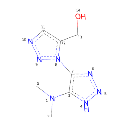 CN(C)c1[nH]nnc1-n1nn[c]c1CO